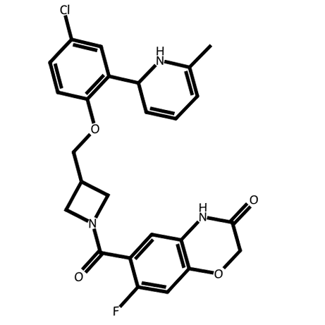 CC1=CC=CC(c2cc(Cl)ccc2OCC2CN(C(=O)c3cc4c(cc3F)OCC(=O)N4)C2)N1